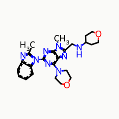 Cc1nc2ccccc2n1-c1nc(N2CCOCC2)c2nc(CNC3CCOCC3)n(C)c2n1